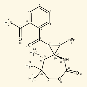 CCCC1N(C(=O)c2ccccc2C(N)=O)[C@]12NC(=O)OCC(C)(C)[C@@H]2C